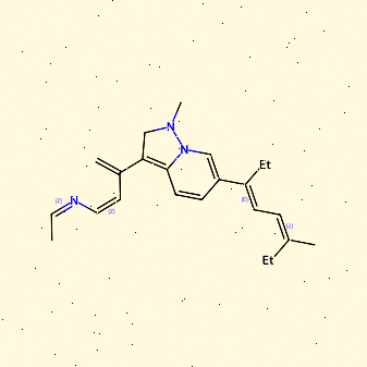 C=C(/C=C\N=C/C)C1=C2C=CC(/C(=C/C=C(/C)CC)CC)=CN2N(C)C1